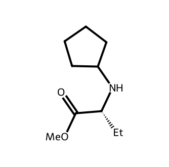 CC[C@@H](NC1CCCC1)C(=O)OC